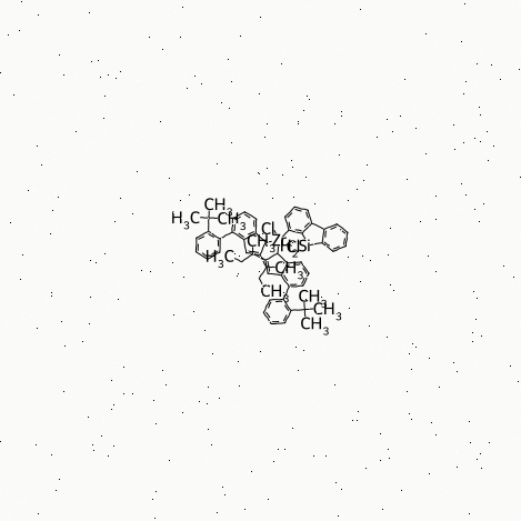 CCC(C)C1=Cc2c(-c3ccccc3C(C)(C)C)cccc2[CH]1[Zr]([Cl])([Cl])([c]1cccc2c1[SiH2]c1ccccc1-2)[CH]1C(C(C)CC)=Cc2c(-c3ccccc3C(C)(C)C)cccc21